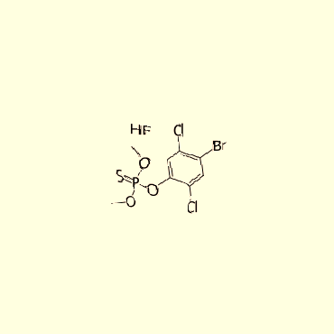 COP(=S)(OC)Oc1cc(Cl)c(Br)cc1Cl.F